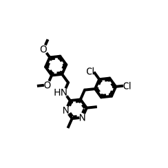 COc1ccc(CNc2nc(C)nc(C)c2Cc2ccc(Cl)cc2Cl)c(OC)c1